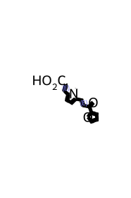 Cn1c(/C=C/C(=O)O)ccc1/C=C/C(=O)c1ccco1